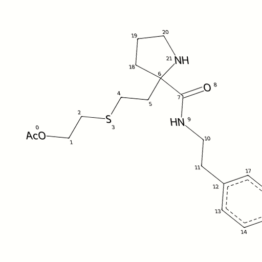 CC(=O)OCCSCCC1(C(=O)NCCc2ccccc2)CCCN1